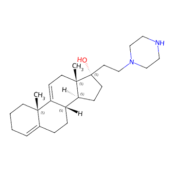 C[C@]12CCCC=C1CC[C@@H]1C2=CC[C@@]2(C)[C@H]1CC[C@]2(O)CCN1CCNCC1